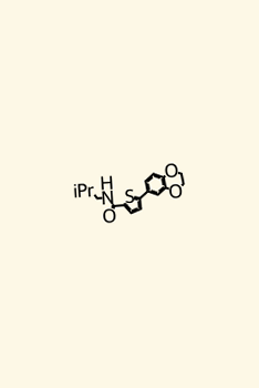 CC(C)CNC(=O)c1ccc(-c2ccc3c(c2)OCCO3)s1